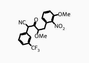 COc1cccc(CC(OC)C(=O)C(C#N)c2cccc(C(F)(F)F)c2)c1[N+](=O)[O-]